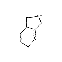 [CH]1C=CC2=CNCC2=N1